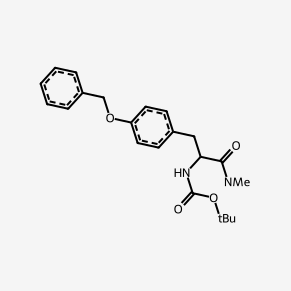 CNC(=O)C(Cc1ccc(OCc2ccccc2)cc1)NC(=O)OC(C)(C)C